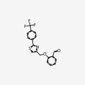 O=Cc1ccccc1OCc1csc(-c2ccc(C(F)(F)F)cc2)n1